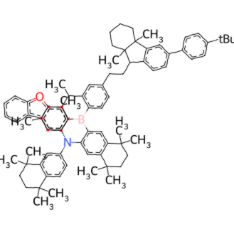 Cc1cc(C)c2c(c1)N(c1ccc3c(c1)C(C)(C)CCC3(C)C)c1cc3c(cc1B2c1ccc(CCC2c4ccc(-c5ccc(C(C)(C)C)cc5)cc4C4(C)CCCCC24C)cc1C(C)c1cccc2c1oc1ccccc12)C(C)(C)CCC3(C)C